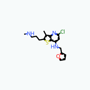 CNCCCc1sc2c(NCc3ccco3)cc(Cl)nc2c1C